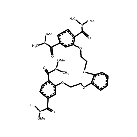 CON(C)C(=O)c1ccc(C(=O)N(C)OC)c(OCCOc2ccccc2OCCOc2cc(C(=O)N(C)OC)ccc2C(=O)N(C)OC)c1